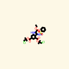 CCOC(=O)c1[nH]c2cc(C(=O)OC(C)(C)CCl)cc(C(=O)OC(C)(C)CCl)c2c1NS(=O)(=O)c1ccccc1